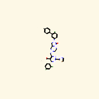 COC(=O)C1=C(CN2CCN3C(=O)N(c4ccc(F)c(-c5ccc(C(=O)O)cc5)c4)C[C@@H]3C2)NC(c2nccs2)=N[C@H]1c1ccc(F)cc1Cl